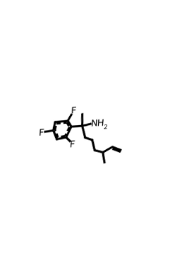 C=CC(C)CCCC(C)(N)c1c(F)cc(F)cc1F